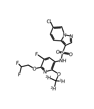 [2H]C([2H])([2H])Oc1nc(OCC(F)F)c(F)cc1NS(=O)(=O)c1cnn2cc(Cl)ccc12